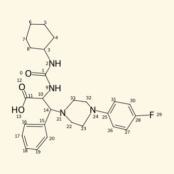 O=C(NC1CCCCC1)NC(C(=O)O)C(c1ccccc1)N1CCN(c2ccc(F)cc2)CC1